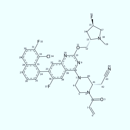 C=CC(=O)N1CCN(c2nc(OC[C@@H]3C[C@@H](F)CN3C)nc3cc(-c4cccc5ccc(F)c(Cl)c45)c(F)cc23)C[C@@H]1CC#N